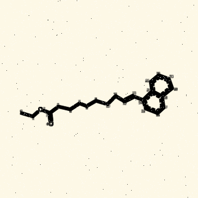 CCOC(=O)CCCCCCCC=Cc1cccc2ccccc12